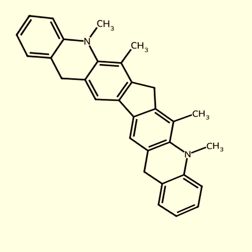 Cc1c2c(cc3c1N(C)c1ccccc1C3)-c1cc3c(c(C)c1C2)N(C)c1ccccc1C3